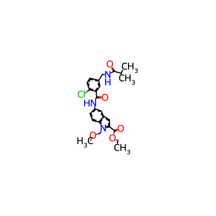 CCOC(=O)c1cc2cc(NC(=O)c3cc(CNC(=O)C(C)C)ccc3Cl)ccc2n1COC